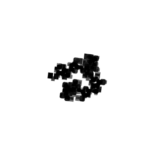 Nc1nc2c(ncn2[C@H]2C[C@H](O)[C@@H](COP(=O)(O)OP(=O)(O)OP(=O)(O)O)O2)c(=O)[nH]1.Nc1ncnc2c1ncn2[C@H]1C[C@H](O)[C@@H](COP(=O)(O)OP(=O)(O)OP(=O)(O)O)O1